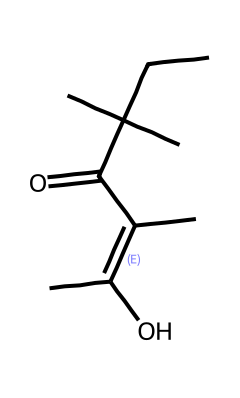 CCC(C)(C)C(=O)/C(C)=C(\C)O